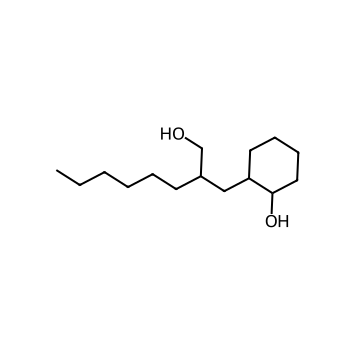 CCCCCCC(CO)CC1CCCCC1O